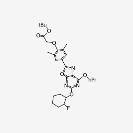 CCCOc1nc(OC2CCCCC2F)nc2oc(-c3cc(C)c(OCC(=O)OC(C)(C)C)c(C)c3)nc12